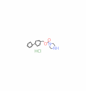 Cl.O=C(OCc1ccc(-c2ccccc2)cc1)N1CCNCC1